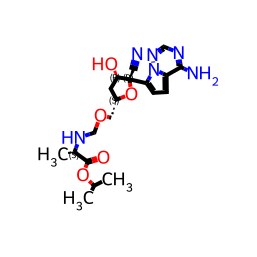 CC(C)OC(=O)[C@H](C)NCOC[C@@H]1C[C@@H](O)[C@](C#N)(c2ccc3c(N)ncnn23)O1